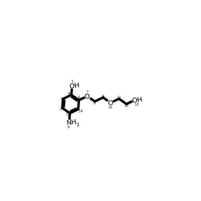 Nc1ccc(O)c(OCCOCCO)c1